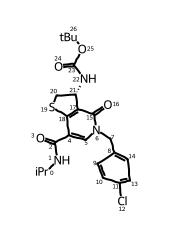 CC(C)NC(=O)c1cn(Cc2ccc(Cl)cc2)c(=O)c2c1SC[C@@H]2NC(=O)OC(C)(C)C